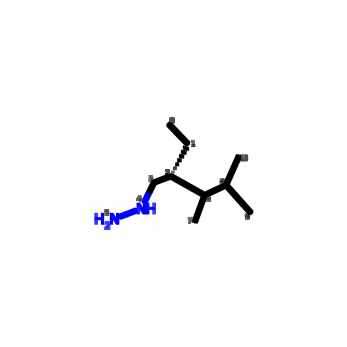 CC[C@@H](CNN)C(C)C(C)C